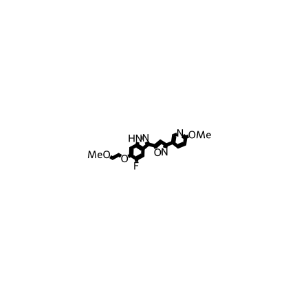 COCCOc1cc2[nH]nc(-c3cc(-c4ccc(OC)nc4)no3)c2cc1F